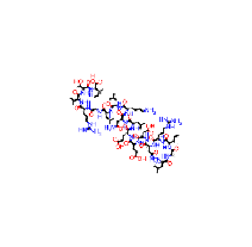 CC[C@H](C)[C@H](NC(=O)[C@@H](NC(=O)[C@@H](NC(=O)[C@H](CCCNC(=N)N)NC(=O)CNC(=O)[C@H](CC(C)C)NC(=O)[C@H](CC(C)C)NC(=O)[C@H](CCCCN)NC(=O)[C@H](CC(N)=O)NC(=O)[C@H](CC(C)C)NC(=O)[C@H](CCC(=O)O)NC(=O)[C@H](CCC(=O)O)NC(=O)[C@H](CC(=O)O)NC(=O)[C@H](CC(N)=O)NC(=O)[C@H](CCCNC(=N)N)NC(=O)[C@@H](NC(=O)[C@H](C)NC(=O)[C@@H](N)CC(C)C)[C@@H](C)CC)C(C)C)[C@@H](C)O)C(=O)O